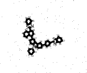 c1ccc(-n2c3ccc(-c4ccc(-c5nc6ccccc6s5)cc4)cc3c3cc(-c4ccc(-c5nc6ccccc6s5)c5ccccc45)ccc32)cc1